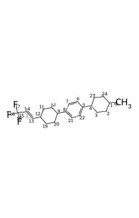 CC1CCC(c2ccc(C3CCC(/C=C/C(F)(F)F)CC3)cc2)CC1